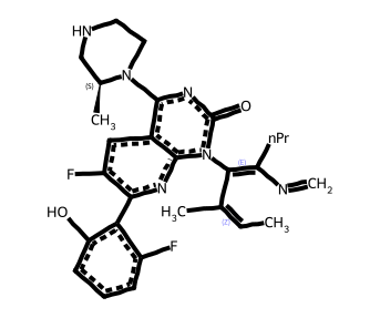 C=N/C(CCC)=C(\C(C)=C/C)n1c(=O)nc(N2CCNC[C@@H]2C)c2cc(F)c(-c3c(O)cccc3F)nc21